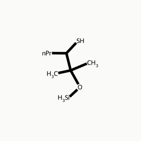 CCCC(S)C(C)(C)O[SiH3]